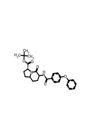 CC(C)(C)OC(=O)[C@@H]1CCC2CCC(NC(=O)c3ccc(Oc4ccccc4)cc3)C(=O)N21